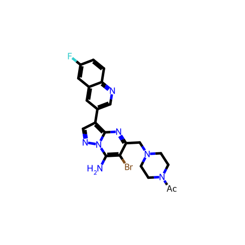 CC(=O)N1CCN(Cc2nc3c(-c4cnc5ccc(F)cc5c4)cnn3c(N)c2Br)CC1